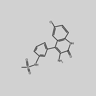 CS(=O)(=O)Nc1cccc(-c2c(N)c(=O)[nH]c3ccc(Cl)cc23)c1